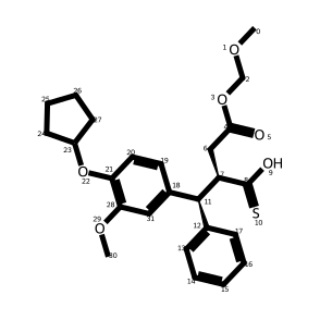 COCOC(=O)C[C@@H](C(O)=S)[C@@H](c1ccccc1)c1ccc(OC2CCCC2)c(OC)c1